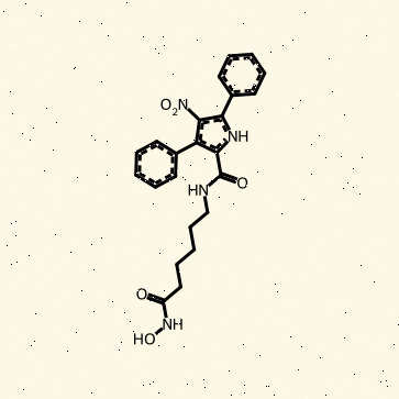 O=C(CCCCCNC(=O)c1[nH]c(-c2ccccc2)c([N+](=O)[O-])c1-c1ccccc1)NO